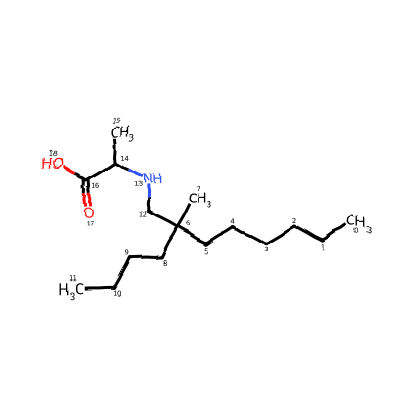 CCCCCCC(C)(CCCC)CNC(C)C(=O)O